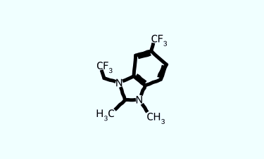 CC1N(C)c2ccc(C(F)(F)F)cc2N1CC(F)(F)F